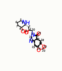 O=C(C[C@H]1NCCC[C@@H]1O)Cn1cnc2cc3c(cc2c1=O)OCO3